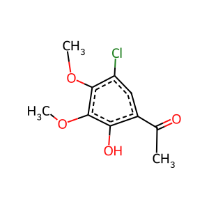 COc1c(Cl)cc(C(C)=O)c(O)c1OC